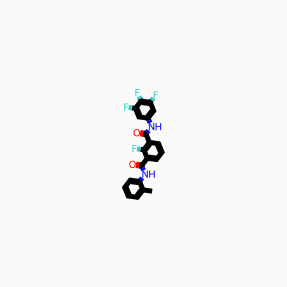 Cc1ccccc1NC(=O)c1cccc(C(=O)Nc2cc(F)c(F)c(F)c2)c1F